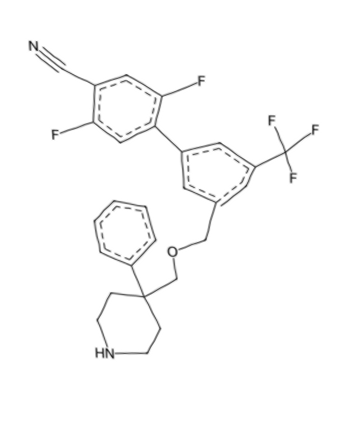 N#Cc1cc(F)c(-c2cc(COCC3(c4ccccc4)CCNCC3)cc(C(F)(F)F)c2)cc1F